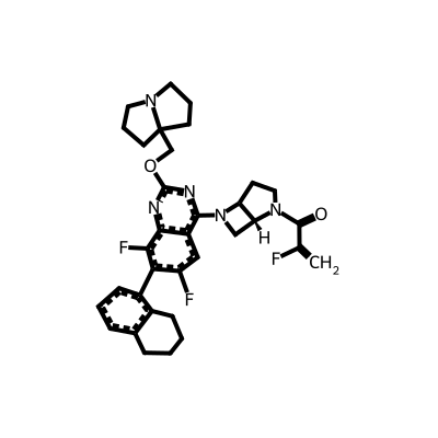 C=C(F)C(=O)N1CCC2[C@H]1CN2c1nc(OCC23CCCN2CCC3)nc2c(F)c(-c3cccc4c3CCCC4)c(F)cc12